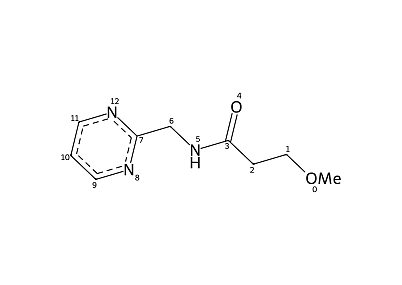 COCCC(=O)NCc1ncccn1